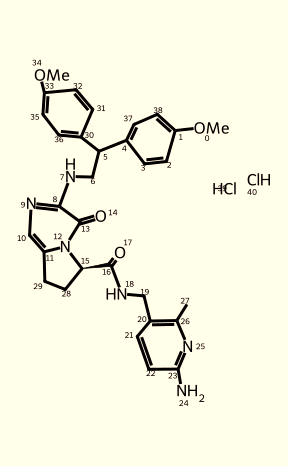 COc1ccc(C(CNc2ncc3n(c2=O)[C@@H](C(=O)NCc2ccc(N)nc2C)CC3)c2ccc(OC)cc2)cc1.Cl.Cl